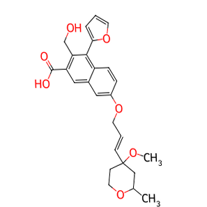 COC1(C=CCOc2ccc3c(-c4ccco4)c(CO)c(C(=O)O)cc3c2)CCOC(C)C1